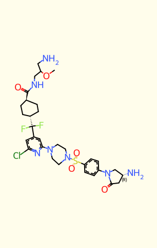 COC(CN)CNC(=O)[C@H]1CC[C@H](C(F)(F)c2cc(Cl)nc(N3CCN(S(=O)(=O)c4ccc(N5C[C@H](N)CC5=O)cc4)CC3)c2)CC1